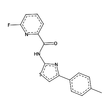 Cc1ccc(-c2csc(NC(=O)c3cccc(F)n3)n2)cc1